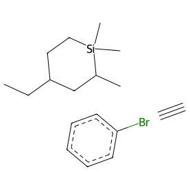 Brc1ccccc1.C#C.CCC1CC[Si](C)(C)C(C)C1